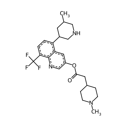 CC1CNCC(c2ccc(C(F)(F)F)c3ncc(OC(=O)CC4CCN(C)CC4)cc23)C1